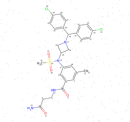 Cc1cc(C(=O)NCCC(N)=O)cc(N(C2CN(C(c3ccc(Cl)cc3)c3ccc(Cl)cc3)C2)S(C)(=O)=O)c1